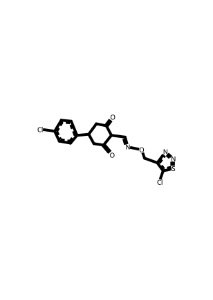 O=C1CC(c2ccc(Cl)cc2)CC(=O)C1/C=N/OCc1nnsc1Cl